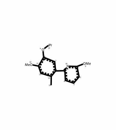 COc1cccc(-c2cc(OC(C)C)c(OC)cc2C)n1